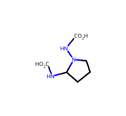 O=C(O)NC1CCCN1NC(=O)O